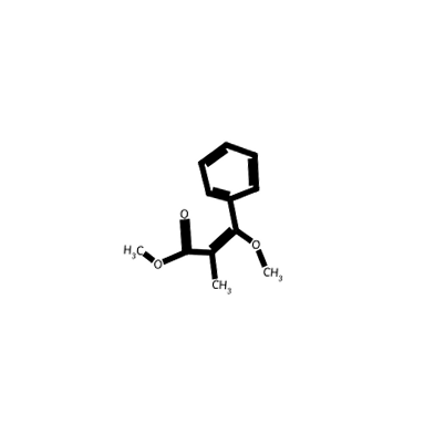 COC(=O)C(C)=C(OC)c1ccccc1